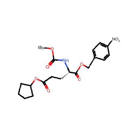 CC(C)(C)OC(=O)N[C@@H](CCC(=O)OC1CCCC1)C(=O)OCc1ccc([N+](=O)[O-])cc1